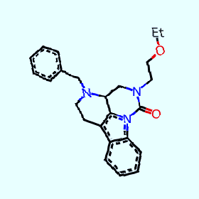 CCOCCN1CC2c3c(c4ccccc4n3C1=O)CCN2Cc1ccccc1